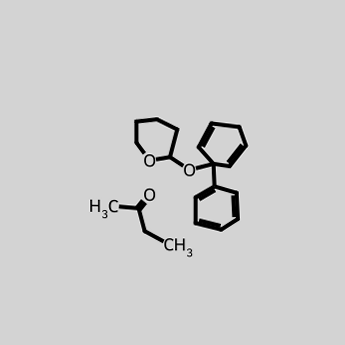 C1=CC(OC2CCCCO2)(c2ccccc2)C=CC1.CCC(C)=O